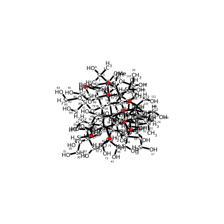 CO[Si]([SiH3])([Si](C)(C)O)[Si](O[Si](C)(C)O)(O[Si]([Si](O[Si](C)(C)O[Si](C)(C)C)(O[Si](O[Si](O[SiH2]O)([SiH2]O)[SiH2]O)([Si](O[SiH2]O)([SiH2]O)[SiH2]O)[Si](O[SiH2]O)([SiH2]O)[SiH2]O)[Si](O[Si](O[SiH2]O)([SiH2]O)[SiH2]O)([Si](O[SiH2]O)([SiH2]O)[SiH2]O)[Si](O[SiH2]O)([SiH2]O)[SiH2]O)([Si](O[Si](O[SiH2]O)([SiH2]O)[SiH2]O)([Si](O[SiH2]O)([SiH2]O)[SiH2]O)[Si](O[SiH2]O)([SiH2]O)[SiH2]O)[Si](O[Si](O[SiH2]O)([SiH2]O)[SiH2]O)([Si](O[SiH2]O)([SiH2]O)[SiH2]O)[Si](O[SiH2]O)([SiH2]O)[SiH2]O)[Si](O[SiH2]O)([SiH2]O)[Si](C)(C)O